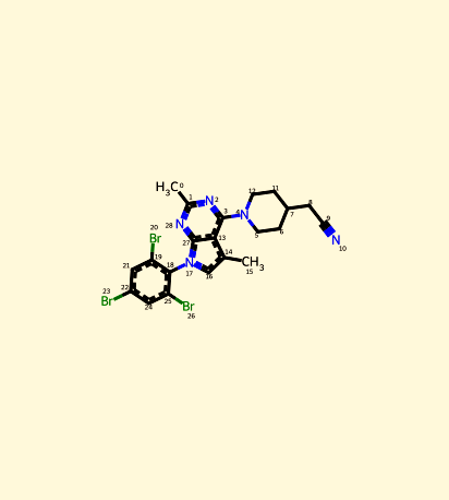 Cc1nc(N2CCC(CC#N)CC2)c2c(C)cn(-c3c(Br)cc(Br)cc3Br)c2n1